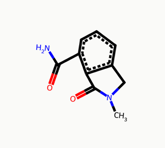 CN1Cc2cccc(C(N)=O)c2C1=O